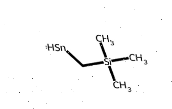 C[Si](C)(C)[CH2][SnH]